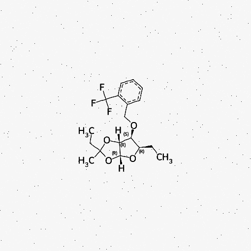 CC[C@H]1O[C@@H]2OC(C)(CC)O[C@@H]2[C@H]1OCc1ccccc1C(F)(F)F